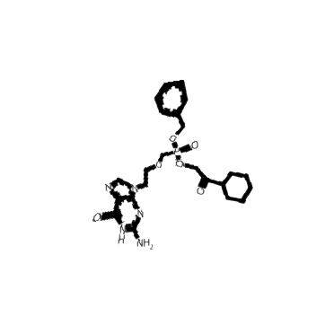 Nc1nc2c(ncn2CCOCP(=O)(OCC(=O)C2CCCCC2)OCc2ccccc2)c(=O)[nH]1